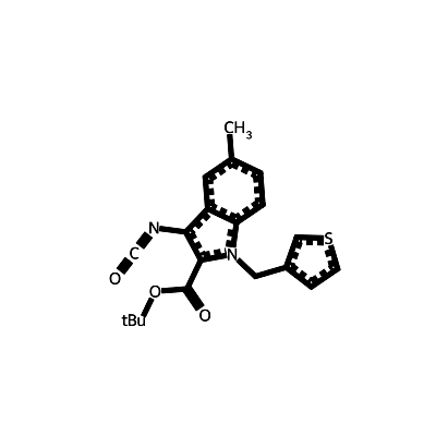 Cc1ccc2c(c1)c(N=C=O)c(C(=O)OC(C)(C)C)n2Cc1ccsc1